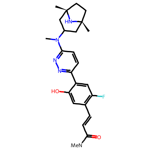 CNC(=O)/C=C/c1cc(O)c(-c2ccc(N(C)C3C[C@]4(C)CC[C@](C)(C3)N4)nn2)cc1F